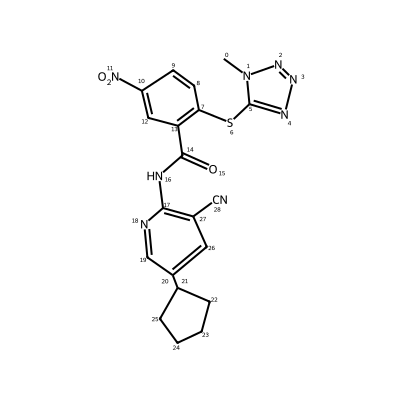 Cn1nnnc1Sc1ccc([N+](=O)[O-])cc1C(=O)Nc1ncc(C2CCCC2)cc1C#N